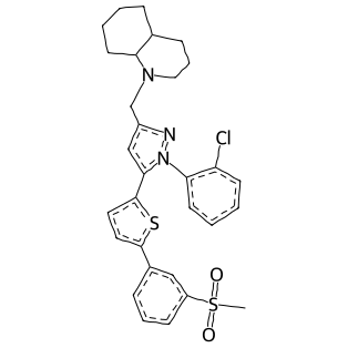 CS(=O)(=O)c1cccc(-c2ccc(-c3cc(CN4CCCC5CCCCC54)nn3-c3ccccc3Cl)s2)c1